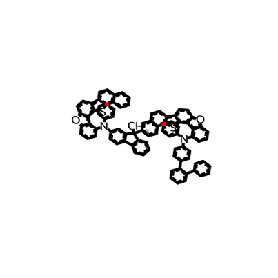 CC1(c2ccc3c(ccc4c5ccc6oc7cccc(N(c8ccccc8)c8ccc(-c9ccccc9-c9ccccc9)cc8)c7c6c5sc34)c2)c2ccccc2-c2ccc(N(c3ccccc3)c3cccc4oc5ccc6c7ccc8ccccc8c7sc6c5c34)cc21